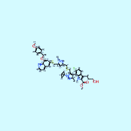 COC(=O)c1c(CCCO)c2ccc(F)c(-c3c(C)nn(C45CC4C5)c3CSCc3cc(CSc4cc(OCc5ccc(OC)cc5)c5ncccc5c4)n(C)n3)c2n1C